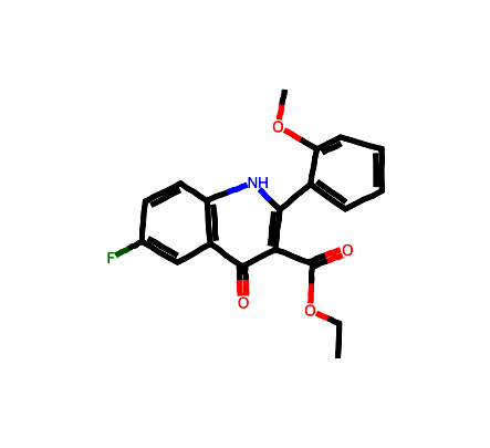 CCOC(=O)c1c(-c2ccccc2OC)[nH]c2ccc(F)cc2c1=O